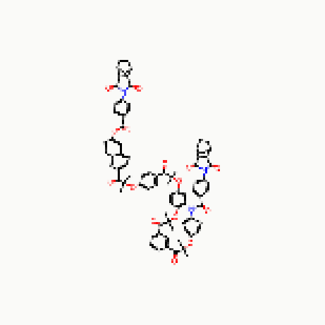 CC(C)(Oc1ccc(OC(C)(C)C(=O)c2cccc(C(=O)C(C)(C)Oc3ccc(NC(=O)c4ccc(N5C(=O)C6C7CCC(C7)C6C5=O)cc4)cc3)c2)cc1)C(=O)c1ccc(OC(C)(C)C(=O)c2ccc3cc(OC(=O)c4ccc(N5C(=O)C6C7CCC(C7)C6C5=O)cc4)ccc3c2)cc1